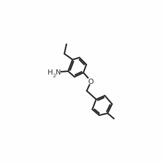 CCc1ccc(OCc2ccc(C)cc2)cc1N